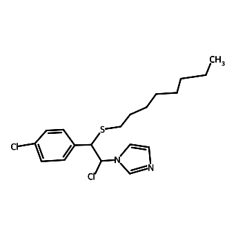 CCCCCCCCSC(c1ccc(Cl)cc1)C(Cl)n1ccnc1